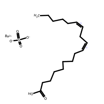 CCCCC/C=C\C/C=C\CCCCCCCC(=O)O.O=S(=O)([O-])[O-].[Ba+2]